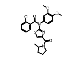 COc1ccc(N(C(=O)c2ccccc2Cl)c2nc(C(=O)N3CCCC3C)cs2)cc1OC